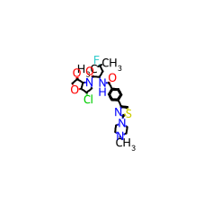 CN1CCN(c2nc(-c3ccc(C(=O)NC(CC(C)(C)F)C(=O)N4CC(Cl)C5OCC(=O)C54)cc3)cs2)CC1